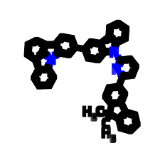 CC1(C)c2ccccc2-c2cc(-c3cccc(-n4c5ccccc5c5cc(-c6ccc7c8cccc9c%10ccccc%10n(c7c6)c98)ccc54)n3)ccc21